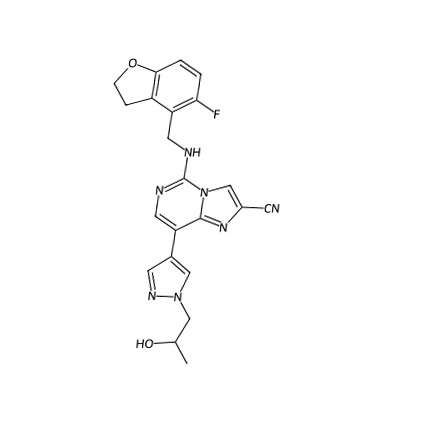 CC(O)Cn1cc(-c2cnc(NCc3c(F)ccc4c3CCO4)n3cc(C#N)nc23)cn1